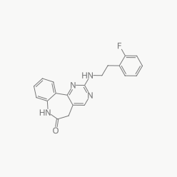 O=C1Cc2cnc(NCCc3ccccc3F)nc2-c2ccccc2N1